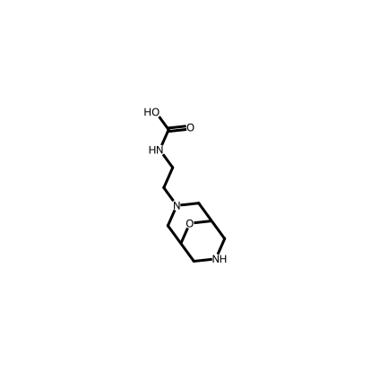 O=C(O)NCCN1CC2CNCC(C1)O2